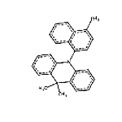 CC1(C)c2ccccc2N(c2ccc(P)c3ccccc23)c2ccccc21